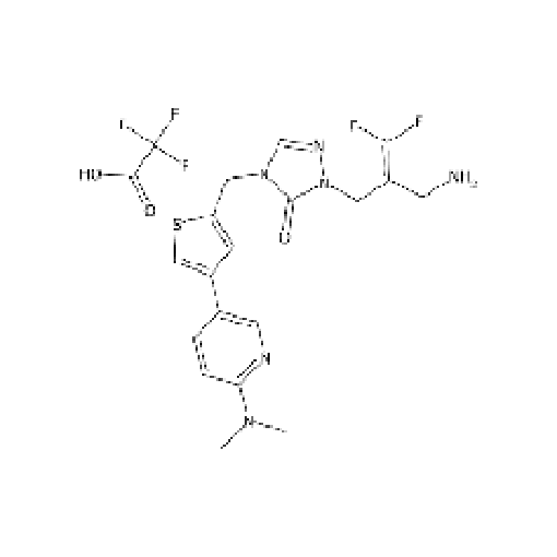 CN(C)c1ccc(-c2csc(Cn3cnn(CC(CN)=C(F)F)c3=O)c2)cn1.O=C(O)C(F)(F)F